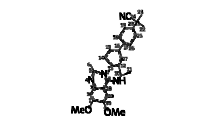 COc1cc2nc(C)nc(N[C@H](C)c3cccc(-c4ccc(C(C)(C)C#N)cc4)c3)c2cc1OC